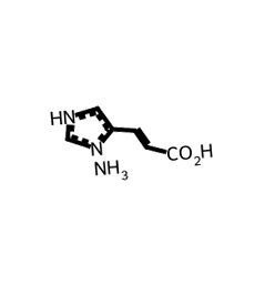 N.O=C(O)C=Cc1c[nH]cn1